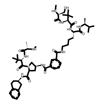 C=C(N[C@H](C(=O)N[C@@H](CCCCNC(=O)c1cccc(C(=O)N[C@H]2CC(C(=O)N[C@@H]3CCc4ccccc4C3)N(C(=O)[C@@H](NC(=O)[C@H](C)NC)C(C)(C)C)C2)c1)C(=O)N[C@@H](C)C(C)C)C(C)(C)C)[C@H](CO)NC